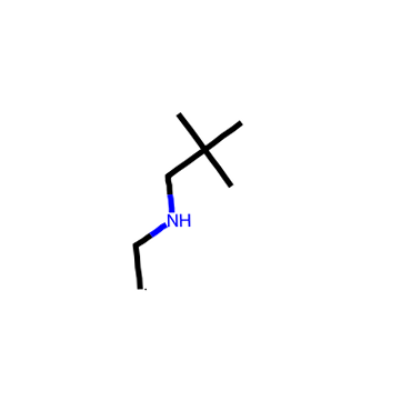 [CH2]CNCC(C)(C)C